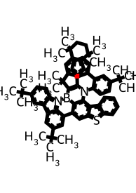 CC(C)(C)c1ccc(N2C3=C(B4c5c(cc6sc7ccccc7c6c52)-c2cc(C(C)(C)C)cc5c6cc(C(C)(C)C)ccc6n4c25)C(C)(C)c2cc4c(cc23)C(C)(C)CCC4(C)C)c(-c2ccccc2)c1